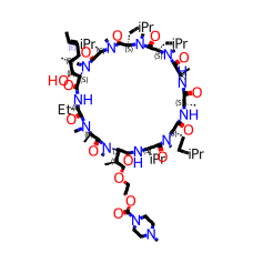 C/C=C/C[C@@H](C)[C@@H](O)[C@H]1C(=O)N[C@@H](CC)C(=O)N(C)[C@H](C)C(=O)N(C)[C@@H]([C@H](C)COCCOC(=O)N2CCN(C)CC2)C(=O)N[C@@H](C(C)C)C(=O)N(C)[C@@H](CCC(C)C)C(=O)N[C@@H](C)C(=O)N[C@H](C)C(=O)N(C)[C@@H](CC(C)C)C(=O)N(C)[C@@H](CC(C)C)C(=O)N(C)[C@@H](C(C)C)C(=O)N1C